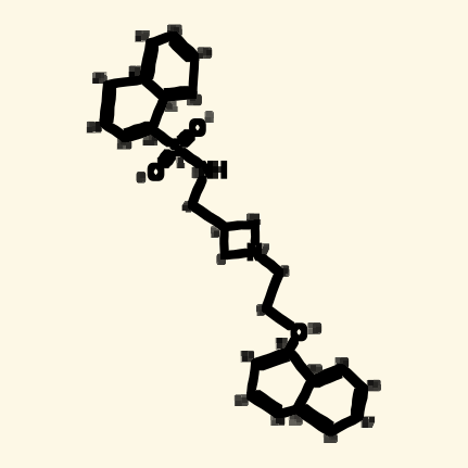 O=S(=O)(NCC1CN(CCOc2cccc3ccccc23)C1)c1cccc2ccccc12